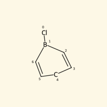 ClB1C=CCC=C1